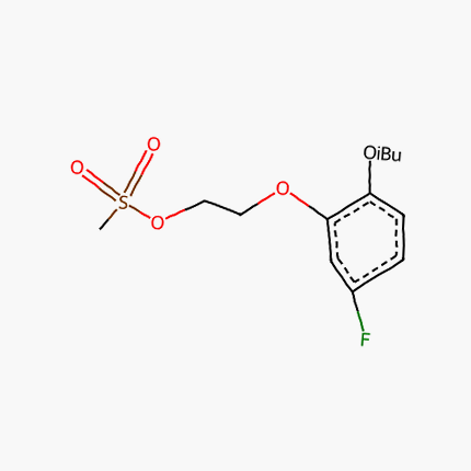 CC(C)COc1ccc(F)cc1OCCOS(C)(=O)=O